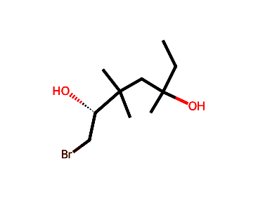 CCC(C)(O)CC(C)(C)[C@@H](O)CBr